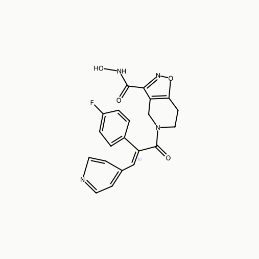 O=C(NO)c1noc2c1CN(C(=O)/C(=C/c1ccncc1)c1ccc(F)cc1)CC2